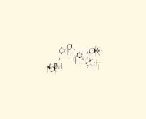 O=C(O)[C@@H](CO)NCc1cc(Cl)c(OCc2cccc(-c3cccc(OCCCNc4[nH]c(=O)ncc4F)c3)c2F)cc1OCc1ccc2nonc2c1